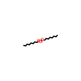 CCCCCCCCOOOCCCCCCCC